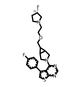 Fc1ccc(-c2csc3ncnc(N4CC5C(COCCN6CC[C@H](F)C6)C5C4)c23)cc1